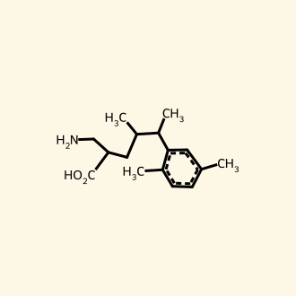 Cc1ccc(C)c(C(C)C(C)CC(CN)C(=O)O)c1